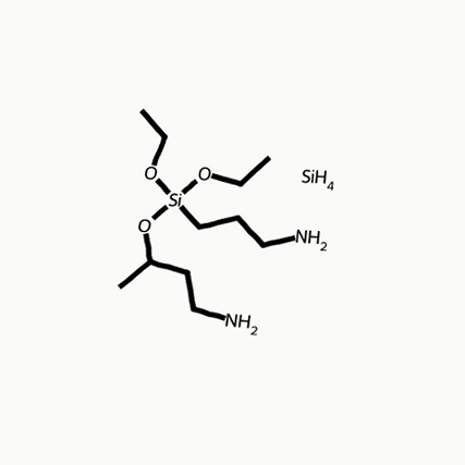 CCO[Si](CCCN)(OCC)OC(C)CCN.[SiH4]